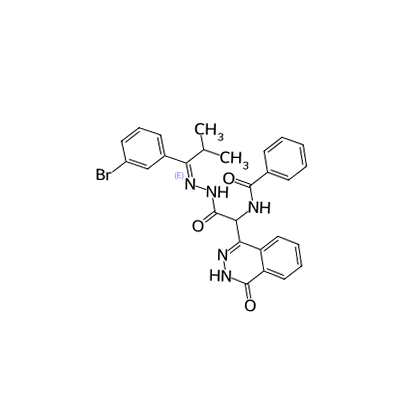 CC(C)/C(=N\NC(=O)C(NC(=O)c1ccccc1)c1n[nH]c(=O)c2ccccc12)c1cccc(Br)c1